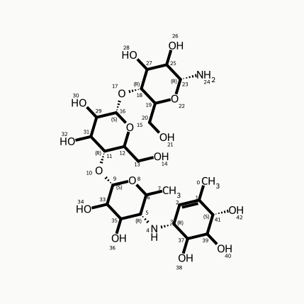 CC1=C[C@@H](N[C@H]2C(C)O[C@@H](O[C@H]3C(CO)O[C@@H](O[C@H]4C(CO)O[C@@H](N)C(O)C4O)C(O)C3O)C(O)C2O)C(O)C(O)[C@H]1O